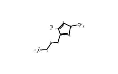 CCCCC1=C[C](C)C=C1.[Ti]